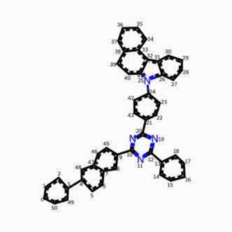 c1ccc(-c2ccc3cc(-c4nc(-c5ccccc5)nc(-c5ccc(-n6c7ccccc7c7c8ccccc8ccc76)cc5)n4)ccc3c2)cc1